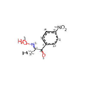 CC(=NO)C(=O)c1ccc([N+](=O)[O-])cc1